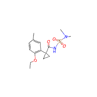 CCOc1ccc(C)cc1C1(C(=O)NS(=O)(=O)N(C)C)CC1